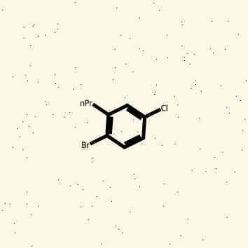 CCCc1cc(Cl)ccc1Br